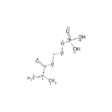 C=C(C)C(=O)OCOOP(=O)(O)O